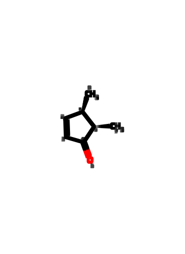 C[C@@H]1C=CC(=O)[C@H]1C